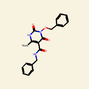 CNc1[nH]c(=O)n(OCc2ccccc2)c(=O)c1C(=O)NCc1ccccc1